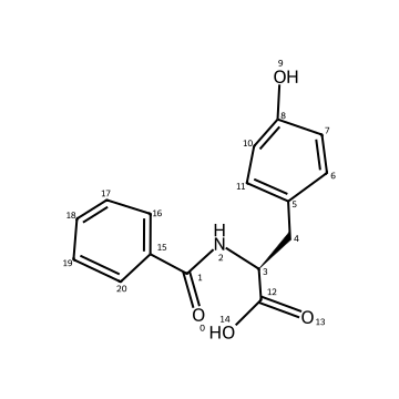 O=C(N[C@@H](Cc1ccc(O)cc1)C(=O)O)c1ccccc1